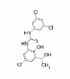 CC(O)c1cc(Cl)cc(NC(=S)Nc2cc(Cl)cc(Cl)c2)c1O